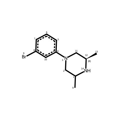 CC1CN(c2cccc(Br)c2)C[C@@H](C)N1